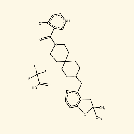 CC1(C)Cc2c(CN3CCC4(CC3)CCN(C(=O)c3c[nH]ccc3=O)CC4)cccc2O1.O=C(O)C(F)(F)F